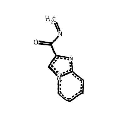 C=NC(=O)c1cn2ccccc2n1